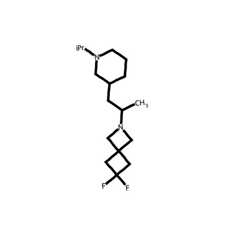 CC(C)N1CCCC(CC(C)N2CC3(C2)CC(F)(F)C3)C1